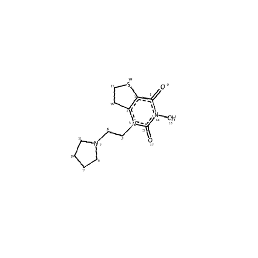 O=c1c2c(n(CCN3CCCC3)c(=O)n1O)CCS2